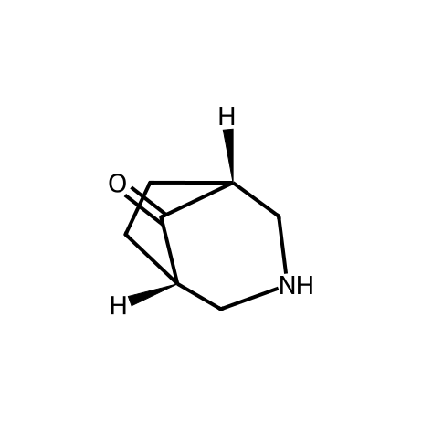 O=C1[C@@H]2CC[C@H]1CNC2